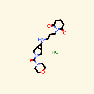 Cl.O=C(N1CCOCC1)N1CC2C(C1)C2NCCCN1C(=O)CCCC1=O